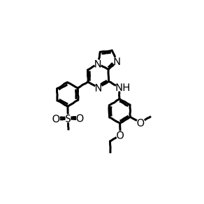 CCOc1ccc(Nc2nc(-c3cccc(S(C)(=O)=O)c3)cn3ccnc23)cc1OC